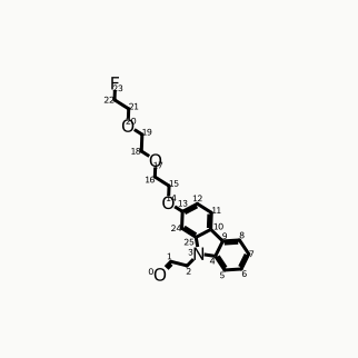 O=CCn1c2ccccc2c2ccc(OCCOCCOCCF)cc21